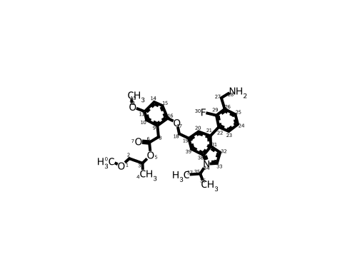 COCC(C)OC(=O)Cc1cc(OC)ccc1OCc1cc(-c2cccc(CN)c2F)c2ccn(C(C)C)c2c1